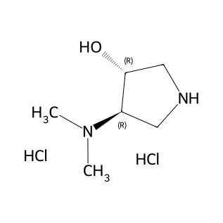 CN(C)[C@@H]1CNC[C@H]1O.Cl.Cl